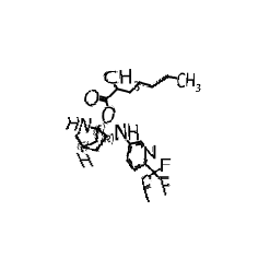 CCCCCC(C)C(=O)O[C@]12C[C@@H](CN1)C[C@H]2Nc1ccc(C(F)(F)F)nc1